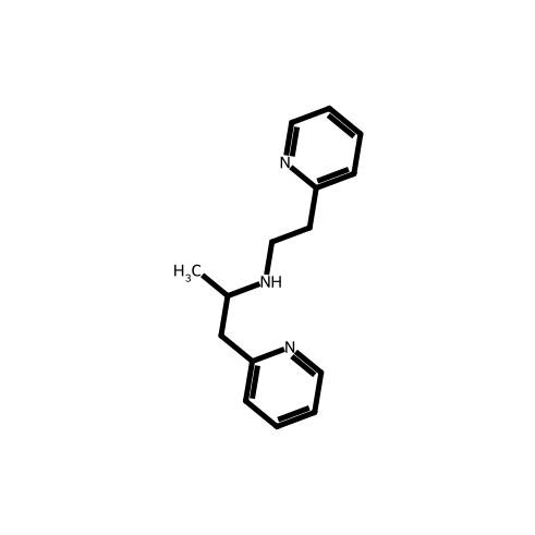 CC(Cc1ccccn1)NCCc1ccccn1